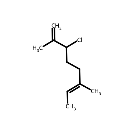 C=C(C)C(Cl)CCC(C)=CC